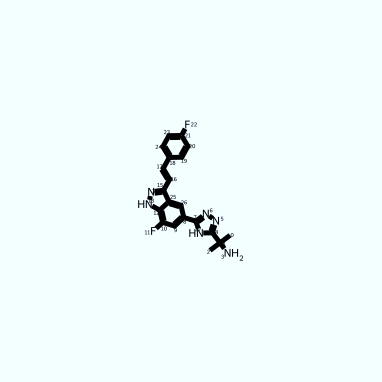 CC(C)(N)c1nnc(-c2cc(F)c3[nH]nc(C=Cc4ccc(F)cc4)c3c2)[nH]1